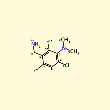 CN(C)c1c(Cl)cc(F)c(CN)c1F